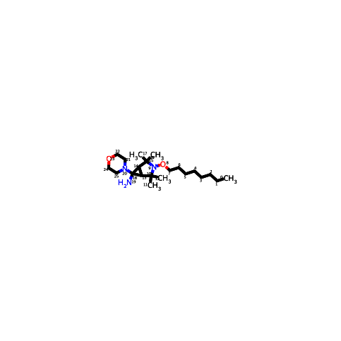 CCCCCCCCON1C(C)(C)C2C(C1(C)C)C2(N)N1CCOCC1